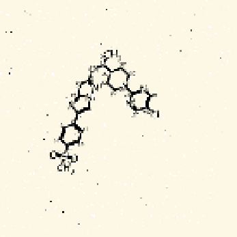 C[C@H](Oc1nn2cc(-c3ccc(S(C)(=O)=O)cc3)nc2s1)C1CCN(c2ncc(Cl)cn2)CC1